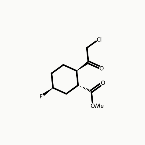 COC(=O)[C@@H]1C[C@@H](F)CC[C@H]1C(=O)CCl